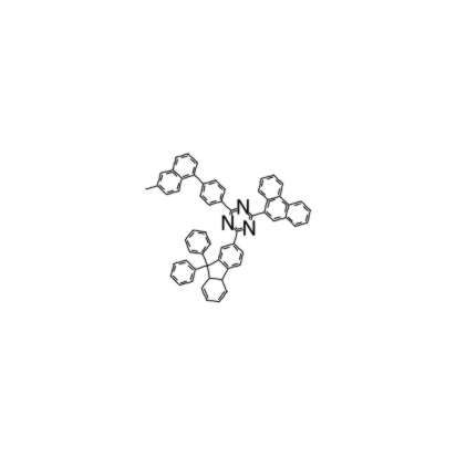 Cc1ccc2c(-c3ccc(-c4nc(-c5ccc6c(c5)C(c5ccccc5)(c5ccccc5)C5C=CC=CC65)nc(-c5cc6ccccc6c6ccccc56)n4)cc3)cccc2c1